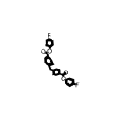 O=C(Oc1ccc(F)cc1)c1ccc(Cc2ccc(C(=O)Oc3ccc(F)cc3)cc2)cc1